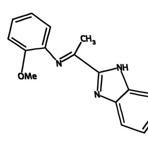 COc1ccccc1N=C(C)c1nc2ccccc2[nH]1